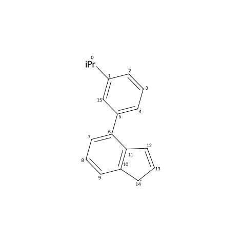 CC(C)c1cccc(-c2cccc3c2C=C[CH]3)c1